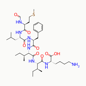 CC[C@H](C)[C@H](NC(=O)[C@H](Cc1ccccc1)NC(=O)[C@H](CC(C)C)NC(=O)[C@H](CCSC)NC=O)C(=O)N[C@H](C(=O)N[C@@H](CCCCN)C(=O)O)[C@@H](C)CC